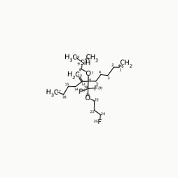 C=CCCCCC(OC[SiH](C)C)(C(=C)CCCC)C(F)(F)OCCCF